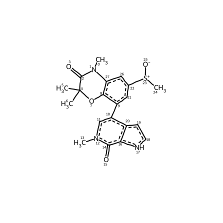 CN1C(=O)C(C)(C)Oc2c(-c3cn(C)c(=O)c4[nH]ccc34)cc([S+](C)[O-])cc21